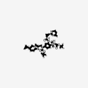 Cc1ccnc([C@H]2C[C@@H]2C(=O)Nc2cc(N(Cc3cn4cc(C5CC5)ccc4n3)C(=O)OC(C)(C)C)ccc2S(=O)(=O)NC(=O)OC(C)(C)C)n1